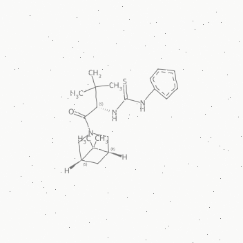 CC(C)(C)[C@H](NC(=S)Nc1ccccc1)C(=O)N1C[C@H]2C[C@@H](C1)C2(C)C